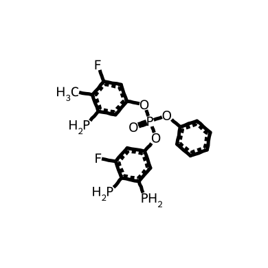 Cc1c(F)cc(OP(=O)(Oc2ccccc2)Oc2cc(F)c(P)c(P)c2)cc1P